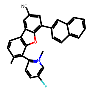 Cc1ccc2c(oc3c(-c4ccc5ccccc5c4)cc(C#N)cc32)c1-c1ccc(F)c[n+]1C